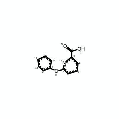 O=C(O)c1cccc(Oc2ccccc2)n1